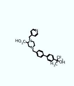 CC(O)(c1ccc(-c2ccc(CN3CCN(Cc4ccncc4)C(C(=O)O)C3)cc2)cc1)C(F)(F)F